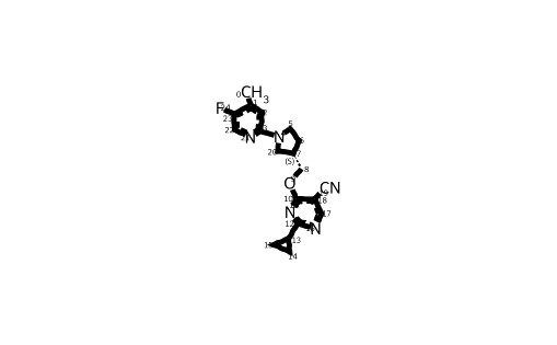 Cc1cc(N2CC[C@H](COc3nc(C4CC4)ncc3C#N)C2)ncc1F